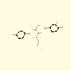 Cc1ccc(C2OC[C@@H]3OC(c4ccc(C(C)C)cc4)O[C@H]([C@H](O)CO)[C@@H]3O2)cc1C